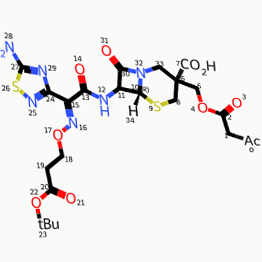 CC(=O)CC(=O)OCC1(C(=O)O)CS[C@@H]2C(NC(=O)C(=NOCCC(=O)OC(C)(C)C)c3nsc(N)n3)C(=O)N2C1